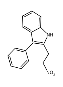 O=[N+]([O-])CCc1[nH]c2ccccc2c1-c1ccccc1